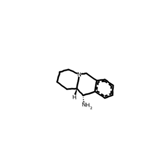 N[C@H]1c2ccccc2CN2CCCC[C@@H]12